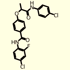 CC(Oc1ccc(C(=O)Nc2ccc(Cl)cc2F)cc1)C(=O)Nc1ccc(Cl)cc1